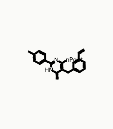 C=Cc1cccc(CC2=C(CCCCC)N=C(c3ccc(C)cc3)NC2=C)c1